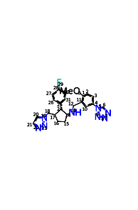 COc1ccc(-n2cnnn2)cc1CNC1CCC(Cn2ccnn2)C1c1ccc(F)cc1